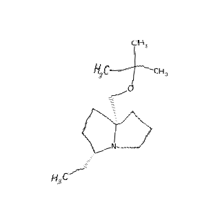 CC[C@@H]1CC[C@@]2(COC(C)(C)C)CCCN12